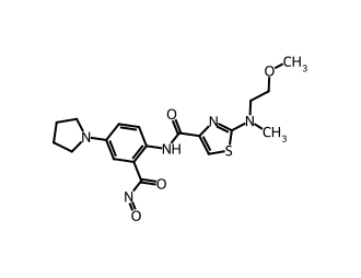 COCCN(C)c1nc(C(=O)Nc2ccc(N3CCCC3)cc2C(=O)N=O)cs1